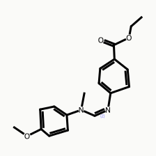 CCOC(=O)c1ccc(/N=C\N(C)c2ccc(OC)cc2)cc1